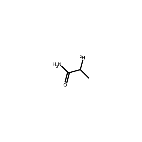 [2H]C(C)C(N)=O